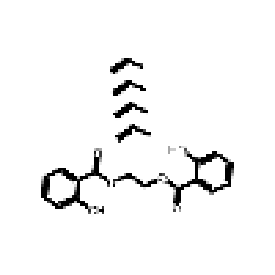 C=CC.C=CC.C=CC.C=CC.O=C(OCCOC(=O)c1ccccc1O)c1ccccc1O